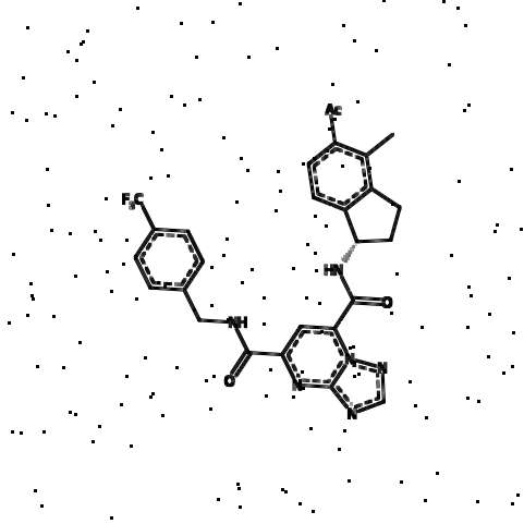 CC(=O)c1ccc2c(c1C)CC[C@@H]2NC(=O)c1cc(C(=O)NCc2ccc(C(F)(F)F)cc2)nc2ncnn12